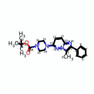 Cc1c(-c2ccccc2)nc2ccc(N3CCN(C(=O)OC(C)(C)C)CC3)nn12